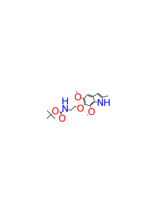 COc1cc2cc(C)[nH]c2c(OC)c1OCCNC(=O)OC(C)(C)C